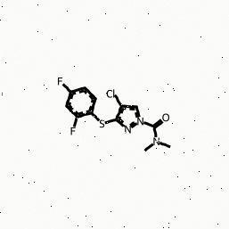 CN(C)C(=O)n1cc(Cl)c(Sc2ccc(F)cc2F)n1